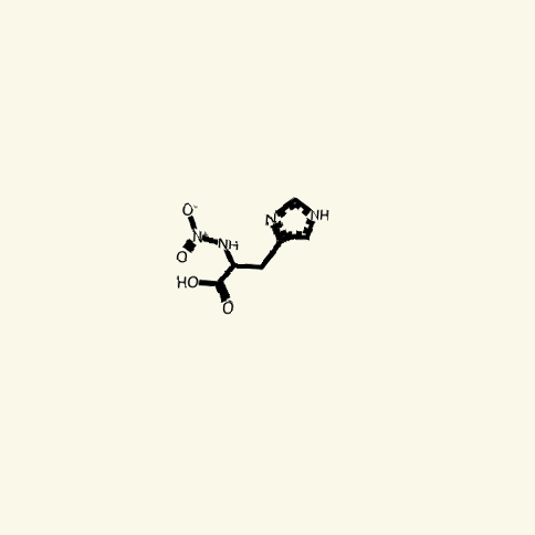 O=C(O)C(Cc1c[nH]cn1)N[N+](=O)[O-]